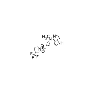 CN(c1ncnc2[nH]ccc12)[C@H]1C[C@@H](CS(=O)(=O)N2CCCC(C(F)(F)F)C2)C1